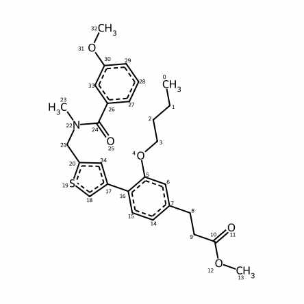 CCCCOc1cc(CCC(=O)OC)ccc1-c1csc(CN(C)C(=O)c2cccc(OC)c2)c1